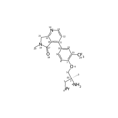 CC(C)C[C@](C)(N)COc1ccc(-c2ccnc3c2C(=O)N(C)C3)cc1C(F)(F)F